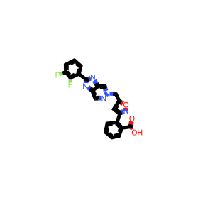 O=C(O)c1ccccc1-c1cc(Cn2cc3nc(-c4cccc(F)c4F)nc-3cn2)on1